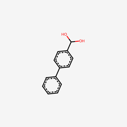 OC(O)c1ccc(-c2[c]cccc2)cc1